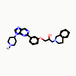 CC(=O)N1CCC(n2cnc3cnc(-c4cccc(OCC(O)CN5CCc6ccccc6C5)c4)nc32)CC1